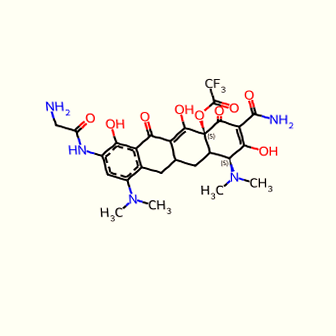 CN(C)c1cc(NC(=O)CN)c(O)c2c1CC1CC3[C@H](N(C)C)C(O)=C(C(N)=O)C(=O)[C@@]3(OC(=O)C(F)(F)F)C(O)=C1C2=O